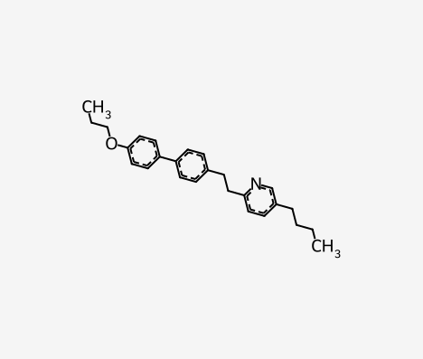 CCCCc1ccc(CCc2ccc(-c3ccc(OCCC)cc3)cc2)nc1